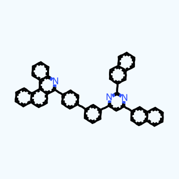 c1cc(-c2ccc(-c3nc4ccccc4c4c3ccc3ccccc34)cc2)cc(-c2cc(-c3ccc4ccccc4c3)nc(-c3ccc4ccccc4c3)n2)c1